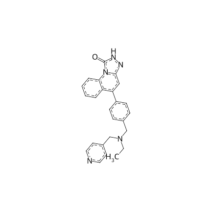 CCN(Cc1ccncc1)Cc1ccc(-c2cc3n[nH]c(=O)n3c3ccccc23)cc1